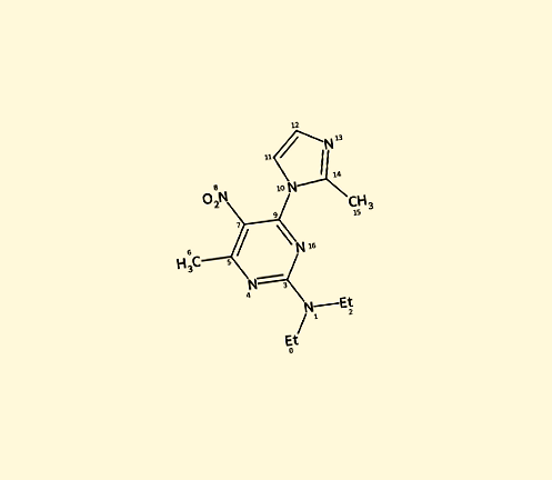 CCN(CC)c1nc(C)c([N+](=O)[O-])c(-n2ccnc2C)n1